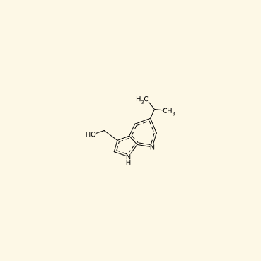 CC(C)c1cnc2[nH]cc(CO)c2c1